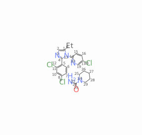 CCc1cnc(-c2ccc(Cl)cc2Cl)n1-c1ccc(Cl)cn1.NC(=O)N1CCCCC1